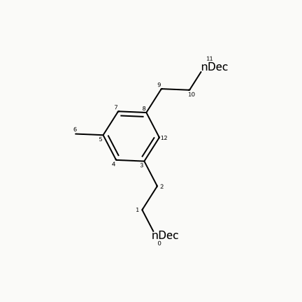 CCCCCCCCCCCCc1cc(C)cc(CCCCCCCCCCCC)c1